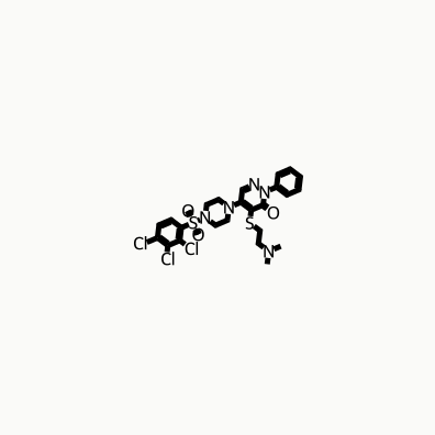 CN(C)CCSc1c(N2CCN(S(=O)(=O)c3ccc(Cl)c(Cl)c3Cl)CC2)cnn(-c2ccccc2)c1=O